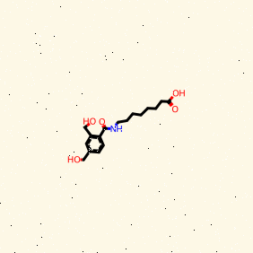 O=C(O)CCCCCCCNC(=O)c1ccc(CO)cc1CO